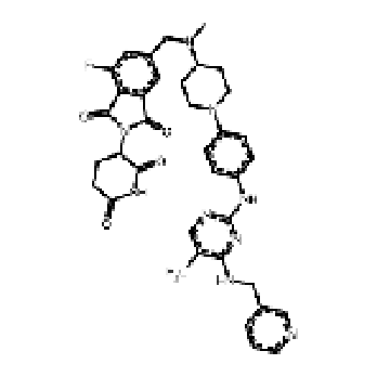 CN(Cc1cc(F)c2c(c1)C(=O)N(C1CCC(=O)NC1=O)C2=O)C1CCN(c2ccc(Nc3ncc(C(F)(F)F)c(NCc4cccnc4)n3)cc2)CC1